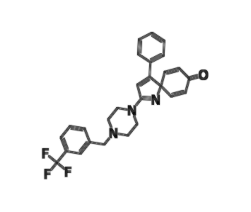 O=C1C=CC2(C=C1)N=C(N1CCN(Cc3cccc(C(F)(F)F)c3)CC1)C=C2c1ccccc1